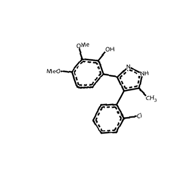 COc1ccc(-c2n[nH]c(C)c2-c2ccccc2Cl)c(O)c1OC